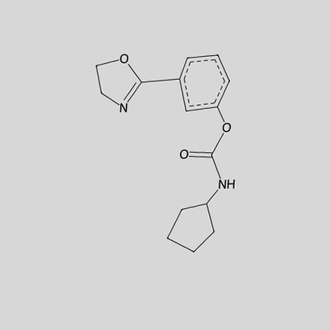 O=C(NC1CCCC1)Oc1cccc(C2=NCCO2)c1